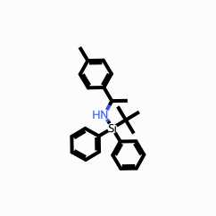 Cc1ccc(C(C)N[Si](c2ccccc2)(c2ccccc2)C(C)(C)C)cc1